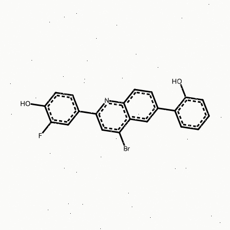 Oc1ccc(-c2cc(Br)c3cc(-c4ccccc4O)ccc3n2)cc1F